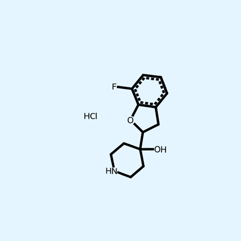 Cl.OC1(C2Cc3cccc(F)c3O2)CCNCC1